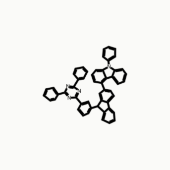 c1ccc(-c2nc(-c3ccccc3)nc(-c3cccc(C4c5ccccc5-c5ccc(-c6cccc7c6c6ccccc6n7-c6ccccc6)cc54)c3)n2)cc1